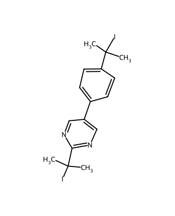 CC(C)(I)c1ccc(-c2cnc(C(C)(C)I)nc2)cc1